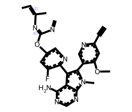 C#Cc1cc(OC)c(-c2c(-c3ncc(O/C(N=C)=N/C(C)=C\C)cc3F)c3c(N)ncnc3n2C)cn1